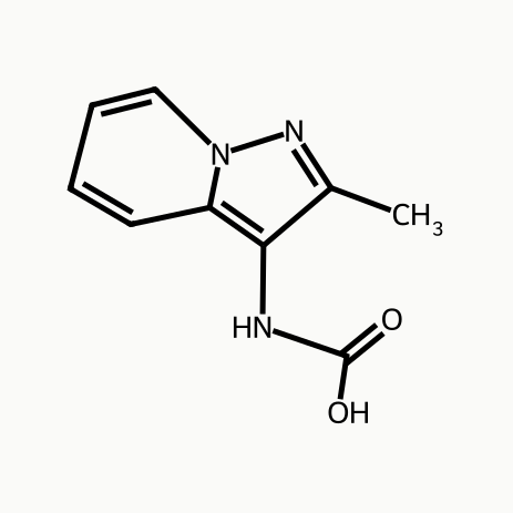 Cc1nn2ccccc2c1NC(=O)O